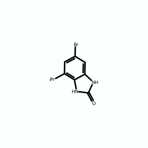 CC(C)c1cc(Br)cc2[nH]c(=O)[nH]c12